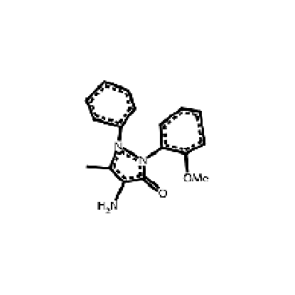 COc1ccccc1-n1c(=O)c(N)c(C)n1-c1ccccc1